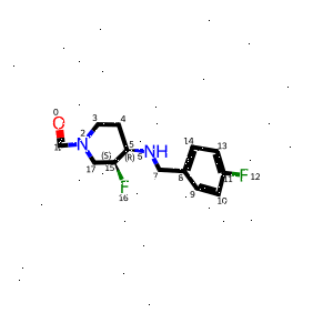 O=[C]N1CC[C@@H](NCc2ccc(F)cc2)[C@@H](F)C1